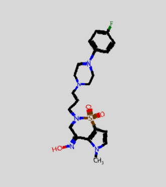 Cn1ccc2c1C(=NO)CN(CCCN1CCN(c3ccc(F)cc3)CC1)S2(=O)=O